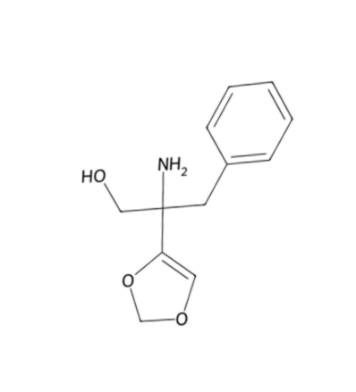 NC(CO)(Cc1ccccc1)C1=COCO1